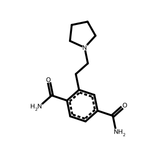 NC(=O)c1ccc(C(N)=O)c(CCN2CCCC2)c1